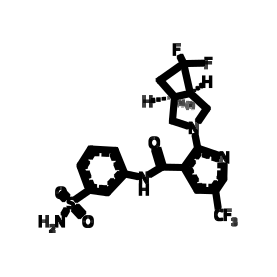 NS(=O)(=O)c1cccc(NC(=O)c2cc(C(F)(F)F)cnc2N2C[C@H]3CC(F)(F)[C@H]3C2)c1